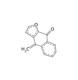 C=C1c2ccccc2C(=O)c2occc21